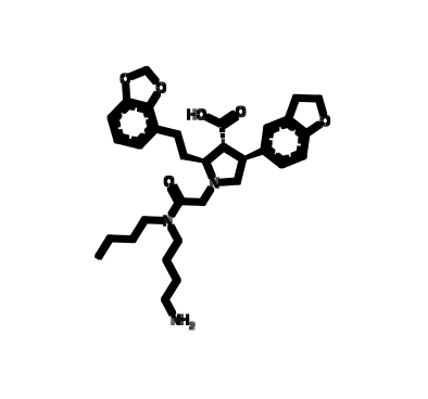 CCCCN(CCCCN)C(=O)CN1C[C@H](c2ccc3c(c2)CCO3)[C@@H](C(=O)O)[C@@H]1CCc1cccc2c1OCO2